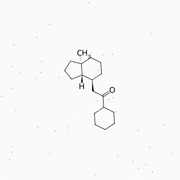 C[C@]12CCC[C@@H](CC(=O)C3CCCCC3)[C@@H]1CCC2